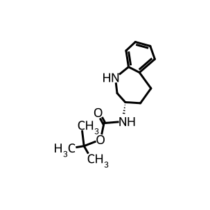 CC(C)(C)OC(=O)N[C@H]1CCc2ccccc2NC1